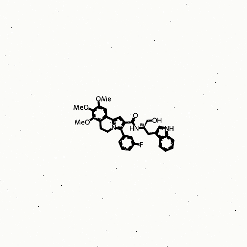 COc1cc2c(c(OC)c1OC)CCn1c-2cc(C(=O)N[C@@H](CO)Cc2c[nH]c3ccccc23)c1-c1cccc(F)c1